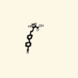 N#Cc1ccc(-c2ccc(C=Cc3[nH]nnc3C(=O)O)cc2)cc1